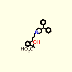 CC(C)(C(=O)O)c1ccccc1C(O)CCCN1CCC(C(c2ccccc2)c2ccccc2)CC1